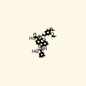 CCOc1cc(CCN(CCC(=O)O)C(=O)c2ccccc2-c2ccccc2C(=O)N[C@@H](CO)c2ccccc2)ccc1OC